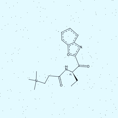 CC[C@@H](NC(=O)[CH]C[Si](C)(C)C)C(=O)c1nc2ccccc2o1